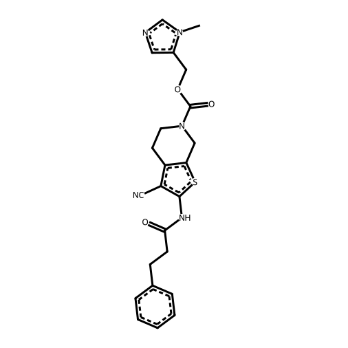 Cn1cncc1COC(=O)N1CCc2c(sc(NC(=O)CCc3ccccc3)c2C#N)C1